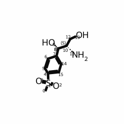 CS(=O)(=O)c1ccc([C@H](O)[C@@H](N)CO)cc1